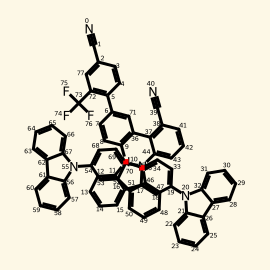 N#Cc1ccc(-c2ccc(-n3c4ccccc4c4cc(-n5c6ccccc6c6ccccc65)ccc43)c(-c3c(C#N)cccc3-n3c4ccccc4c4cc(-n5c6ccccc6c6ccccc65)ccc43)c2)c(C(F)(F)F)c1